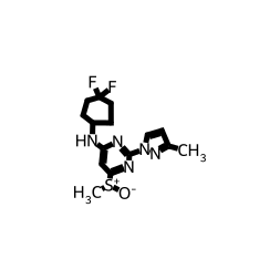 Cc1ccn(-c2nc(NC3CCC(F)(F)CC3)cc([S+](C)[O-])n2)n1